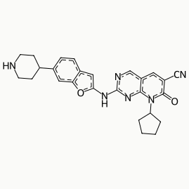 N#Cc1cc2cnc(Nc3cc4ccc(C5CCNCC5)cc4o3)nc2n(C2CCCC2)c1=O